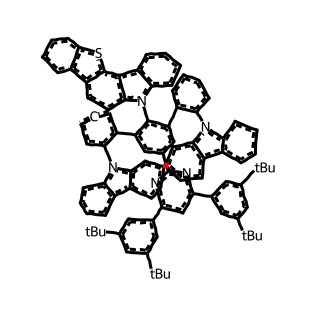 CC(C)(C)c1cc(-c2cc(-c3cc(C(C)(C)C)cc(C(C)(C)C)c3)nc(-c3cc(-c4ccccc4-n4c5ccccc5c5ccccc54)c(-n4c5ccccc5c5c6sc7ccccc7c6ccc54)c(-c4ccccc4-n4c5ccccc5c5ccccc54)c3)n2)cc(C(C)(C)C)c1